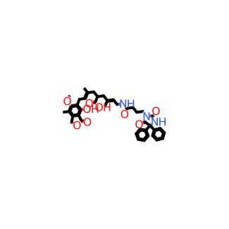 COc1c(C)c2c(c(O)c1C/C=C(\C)CC(C/C(C)=C/CNC(=O)CCCN1C(=O)NC(c3ccccc3)(c3ccccc3)C1=O)C(=O)O)C(=O)OC2